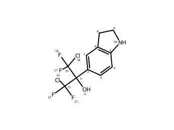 OC(c1ccc2c(c1)CCN2)(C(F)(F)Cl)C(F)(F)Cl